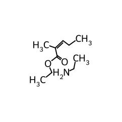 CCC=C(C)C(=O)OCC.CCN